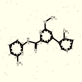 COc1cc(-c2cnccc2C)cc(C(=O)Nc2cccc(C)n2)n1